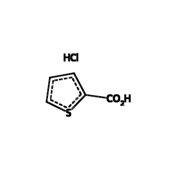 Cl.O=C(O)c1cccs1